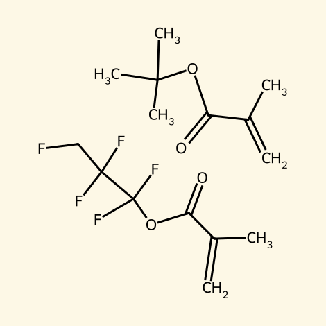 C=C(C)C(=O)OC(C)(C)C.C=C(C)C(=O)OC(F)(F)C(F)(F)CF